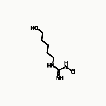 N=C(NCl)NCCCCCO